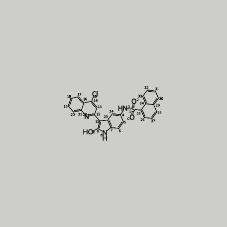 O=S(=O)(Nc1ccc2[nH]c(O)c(-c3cc(Cl)c4ccccc4n3)c2c1)c1cccc2ccccc12